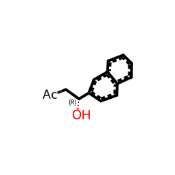 CC(=O)C[C@@H](O)c1ccc2ccccc2c1